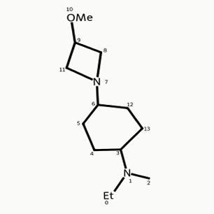 CCN(C)C1CCC(N2CC(OC)C2)CC1